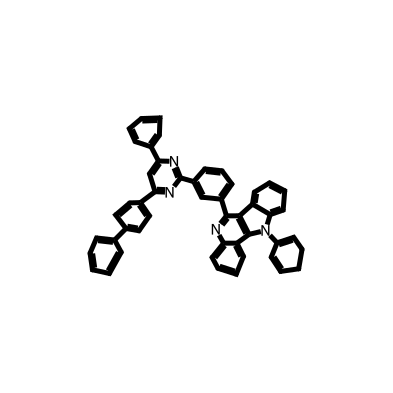 C1=CC(n2c3ccccc3c3c(-c4cccc(-c5nc(-c6ccccc6)cc(-c6ccc(-c7ccccc7)cc6)n5)c4)nc4ccccc4c32)=CCC1